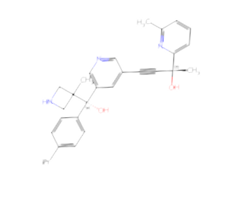 Cc1cccc([C@](C)(O)C#Cc2cncc([C@@](O)(c3ccc(C(C)C)cc3)C3(C)CNC3)c2)n1